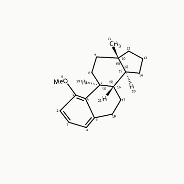 COc1cccc2c1[C@H]1CC[C@]3(C)CCC[C@H]3[C@@H]1CC2